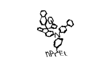 CCCC(CC)c1ccc(N(c2ccc(-c3ccccc3)cc2)c2ccc3c(c2)C2(c4ccccc4Oc4c2ccc2ccccc42)c2ccccc2-3)cc1